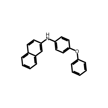 c1ccc(Oc2ccc(Nc3ccc4ccccc4c3)cc2)cc1